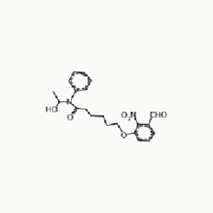 CC(O)N(C(=O)CCCCCOc1cccc(C=O)c1[N+](=O)[O-])c1ccccc1